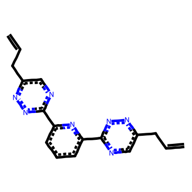 C=CCc1cnc(-c2cccc(-c3ncc(CC=C)nn3)n2)nn1